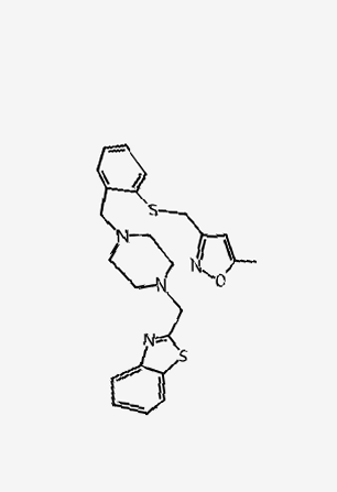 Cc1cc(CSc2ccccc2CN2CCN(Cc3nc4ccccc4s3)CC2)no1